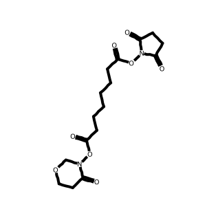 O=C(CCCCCCC(=O)ON1C(=O)CCC1=O)ON1COCCC1=O